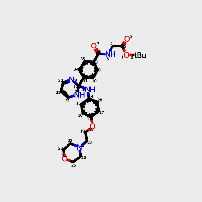 CC(C)(C)OC(=O)CNC(=O)c1ccc(C2(Nc3ccc(OCCN4CCOCC4)cc3)N=CC=CN2)cc1